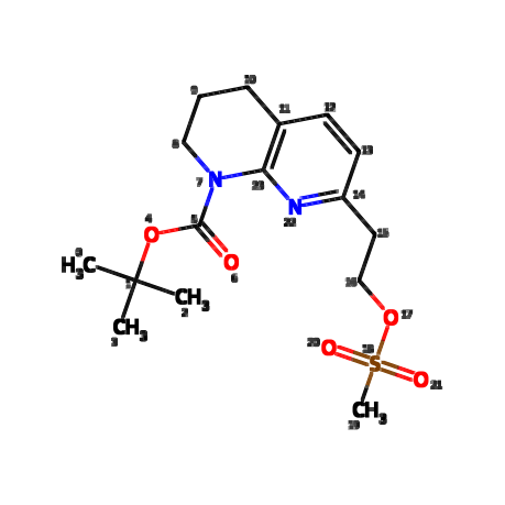 CC(C)(C)OC(=O)N1CCCc2ccc(CCOS(C)(=O)=O)nc21